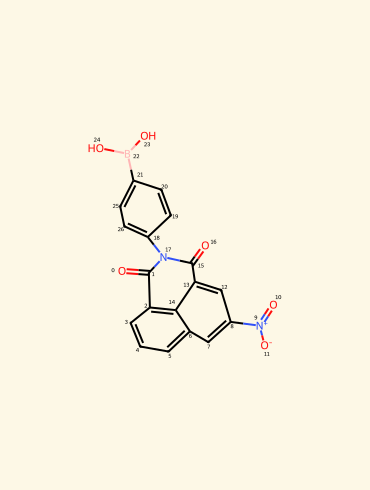 O=C1c2cccc3cc([N+](=O)[O-])cc(c23)C(=O)N1c1ccc(B(O)O)cc1